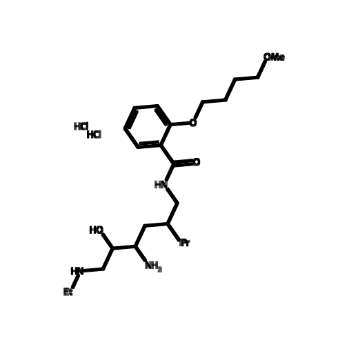 CCNCC(O)C(N)CC(CNC(=O)c1ccccc1OCCCCOC)C(C)C.Cl.Cl